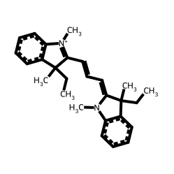 CCC1(C)C(=CC=CC2=[N+](C)c3ccccc3C2(C)CC)N(C)c2ccccc21